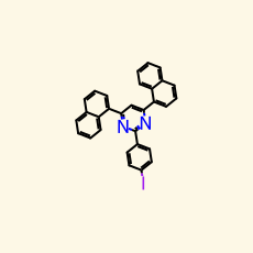 Ic1ccc(-c2nc(-c3cccc4ccccc34)cc(-c3cccc4ccccc34)n2)cc1